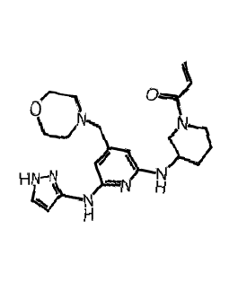 C=CC(=O)N1CCCC(Nc2cc(CN3CCOCC3)cc(Nc3cc[nH]n3)n2)C1